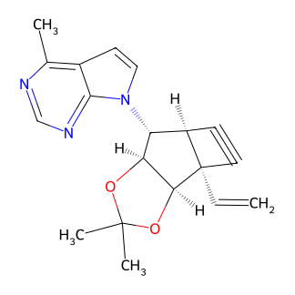 C=C[C@@]12C#C[C@@H]1[C@@H](n1ccc3c(C)ncnc31)[C@@H]1OC(C)(C)O[C@@H]12